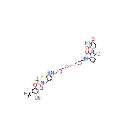 CC1(C)CN(Cc2ccc(NCCOCCOCCCCOCCNc3cccc4c3C(=O)N(C3CCC(=O)NC3=O)C4=O)cc2F)C(=O)C1Oc1ccc(C#N)c(C(F)(F)F)c1